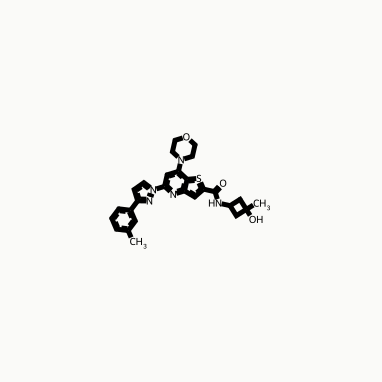 Cc1cccc(-c2ccn(-c3cc(N4CCOCC4)c4sc(C(=O)NC5CC(C)(O)C5)cc4n3)n2)c1